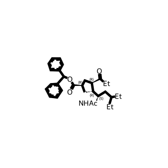 CCC(=O)[C@@H]1C[C@H](C(=O)OC(c2ccccc2)c2ccccc2)C[C@H]1[C@H](CC(CC)CC)NC(C)=O